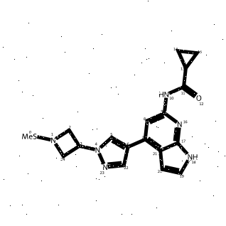 CSN1CC(n2cc(-c3cc(NC(=O)C4CC4)nc4[nH]ccc34)cn2)C1